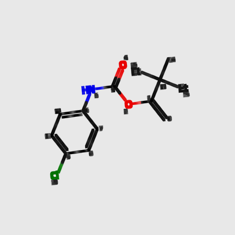 C=C(OC(=O)Nc1ccc(Cl)cc1)C(C)(CC)CC